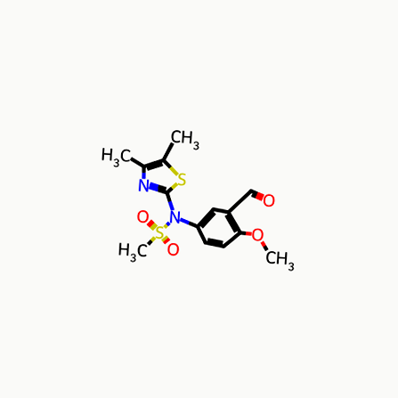 COc1ccc(N(c2nc(C)c(C)s2)S(C)(=O)=O)cc1C=O